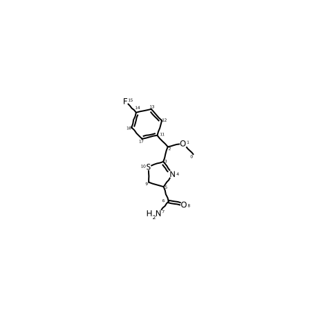 COC(C1=NC(C(N)=O)CS1)c1ccc(F)cc1